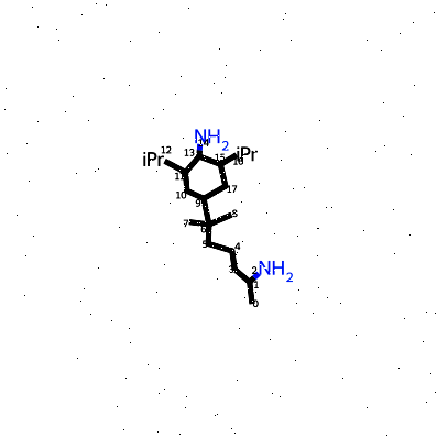 CC(N)CCCC(C)(C)C1CC(C(C)C)C(N)C(C(C)C)C1